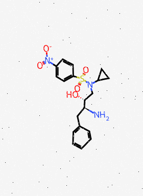 N[C@@H](Cc1ccccc1)[C@H](O)CN(C1CC1)S(=O)(=O)c1ccc([N+](=O)[O-])cc1